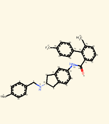 CC(=O)Nc1ccc(CN[C@H]2Cc3ccc(NC(=O)c4cccc(C)c4-c4ccc(C(F)(F)F)cc4)cc3C2)cc1